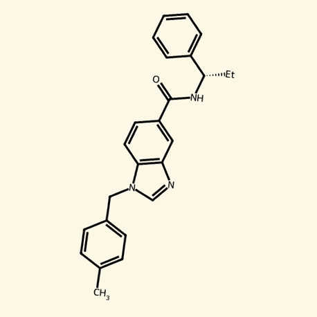 CC[C@H](NC(=O)c1ccc2c(c1)ncn2Cc1ccc(C)cc1)c1ccccc1